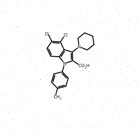 Cc1ccc(-n2c(C(=O)O)c(N3CCCCC3)c3c(Cl)c(Cl)ccc32)cc1